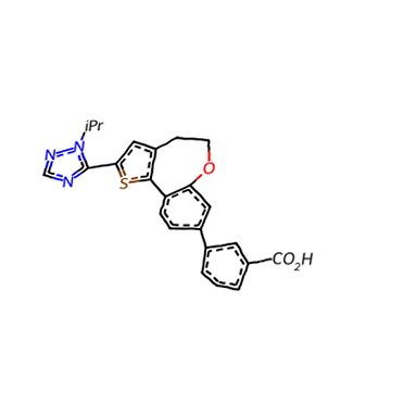 CC(C)n1ncnc1-c1cc2c(s1)-c1ccc(-c3cccc(C(=O)O)c3)cc1OCC2